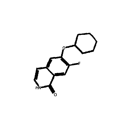 O=c1[nH]ccc2cc(OC3CCCCC3)c(F)cc12